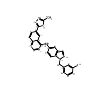 Cc1nnc(-c2ccc3ncnc(Nc4ccc5c(cnn5Cc5cccc(F)c5)c4)c3c2)o1